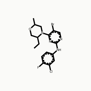 CCC1COC(C)CN1c1nc(Nc2ccc(F)c(Cl)c2)ncc1Br